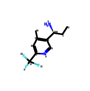 CC[C@@H](N)c1cnc(C(F)(F)F)cc1C